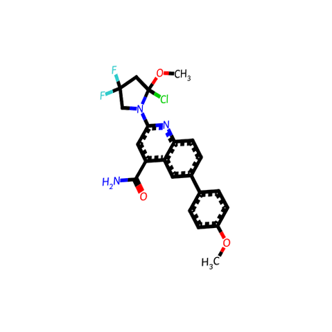 COc1ccc(-c2ccc3nc(N4CC(F)(F)CC4(Cl)OC)cc(C(N)=O)c3c2)cc1